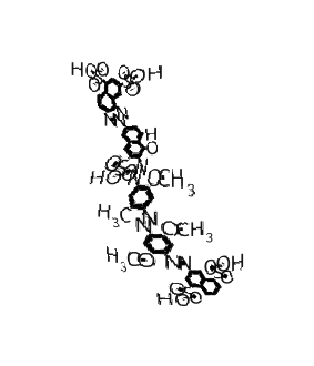 COc1cc(N=Nc2cc(OC)c(N=Nc3c(S(=O)(=O)O)cc4cc(-n5nc6ccc7c(S(=O)(=O)O)cc(S(=O)(=O)O)cc7c6n5)ccc4c3O)cc2C)c(OC)cc1N=Nc1cc(S(=O)(=O)O)c2cccc(S(=O)(=O)O)c2c1